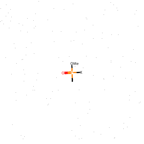 CO[P](C)(=O)[K]